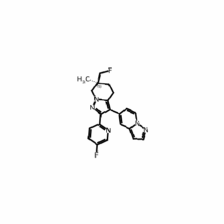 C[C@]1(CF)CCc2c(-c3ccn4nccc4c3)c(-c3ccc(F)cn3)nn2C1